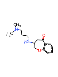 CN(C)CCCNC1COc2ccccc2C(=O)C1